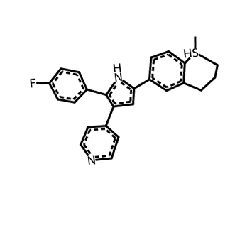 C[SH]1CCCc2cc(-c3cc(-c4ccncc4)c(-c4ccc(F)cc4)[nH]3)ccc21